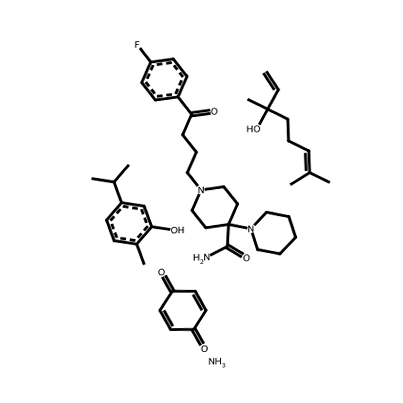 C=CC(C)(O)CCC=C(C)C.Cc1ccc(C(C)C)cc1O.N.NC(=O)C1(N2CCCCC2)CCN(CCCC(=O)c2ccc(F)cc2)CC1.O=C1C=CC(=O)C=C1